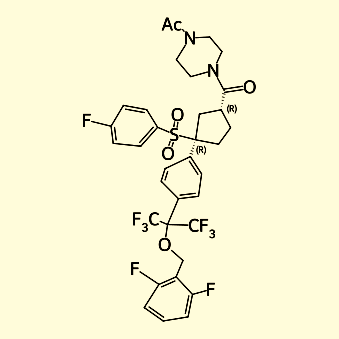 CC(=O)N1CCN(C(=O)[C@@H]2CC[C@@](c3ccc(C(OCc4c(F)cccc4F)(C(F)(F)F)C(F)(F)F)cc3)(S(=O)(=O)c3ccc(F)cc3)C2)CC1